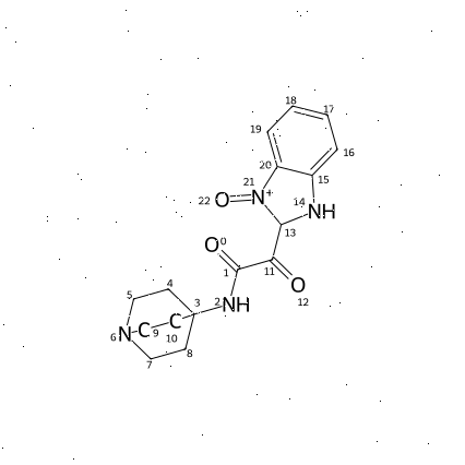 O=C(NC12CCN(CC1)CC2)C(=O)C1Nc2ccccc2[N+]1=O